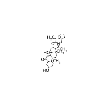 C=CC(=O)N(CC1CCCO1)C(C)C1CC[C@@]2(O)C3=CC(=O)C4CC(O)CCC4(C)C3CCC12C